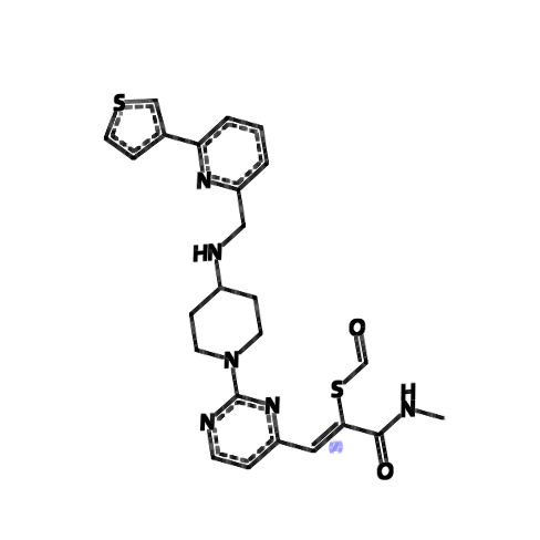 CNC(=O)/C(=C/c1ccnc(N2CCC(NCc3cccc(-c4ccsc4)n3)CC2)n1)SC=O